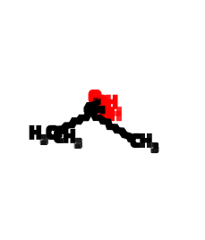 CCCCCCCCCCCCc1c(CCCCCCCCC(C)C)ccc(C(=O)O)c1C(=O)O